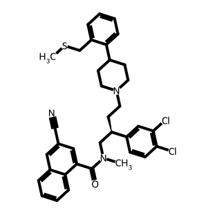 CSCc1ccccc1C1CCN(CC[C@H](CN(C)C(=O)c2cc(C#N)cc3ccccc23)c2ccc(Cl)c(Cl)c2)CC1